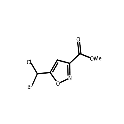 COC(=O)c1cc(C(Cl)Br)on1